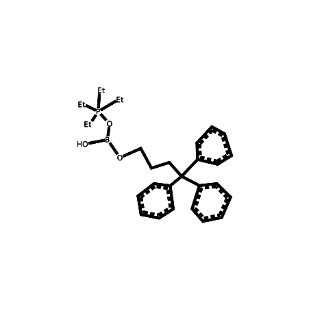 CCP(CC)(CC)(CC)OB(O)OCCCC(c1ccccc1)(c1ccccc1)c1ccccc1